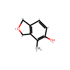 Cc1c(O)ccc2c1COC2